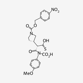 COc1ccc(N(C(=O)O)C(=O)[C@@H](C(O)=S)[C@@H]2CCN(C(=O)OCc3ccc([N+](=O)[O-])cc3)C2)cc1